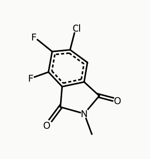 CN1C(=O)c2cc(Cl)c(F)c(F)c2C1=O